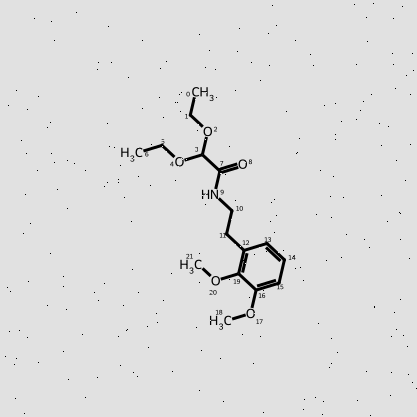 CCOC(OCC)C(=O)NCCc1cccc(OC)c1OC